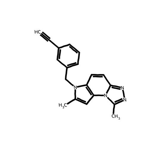 C#Cc1cccc(Cn2c(C)cc3c2ccc2nnc(C)n23)c1